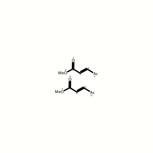 COC(=O)C=CC(C)=O.COC(=O)C=CC(C)=O